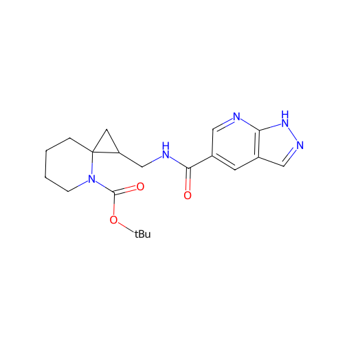 CC(C)(C)OC(=O)N1CCCCC12CC2CNC(=O)c1cnc2[nH]ncc2c1